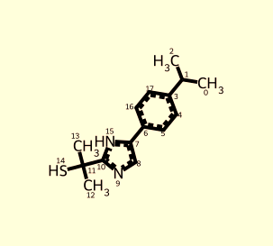 CC(C)c1ccc(-c2cnc(C(C)(C)S)[nH]2)cc1